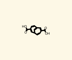 O=C(O)C1=CC2=CC(C=C1)C=C(C(=O)O)C=C2